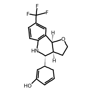 OC1=CC([C@@H]2Nc3ccc(C(F)(F)F)cc3[C@H]3OCC[C@H]32)CC=C1